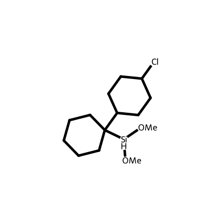 CO[SiH](OC)C1(C2CCC(Cl)CC2)CCCCC1